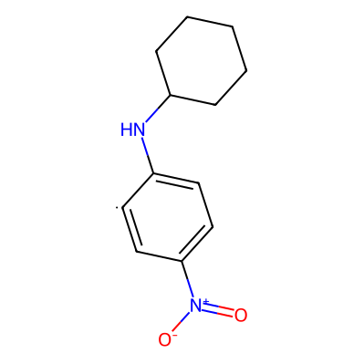 O=[N+]([O-])c1c[c]c(NC2CCCCC2)cc1